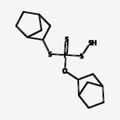 S=P(OC1CC2CCC1C2)(SS)SC1CC2CCC1C2